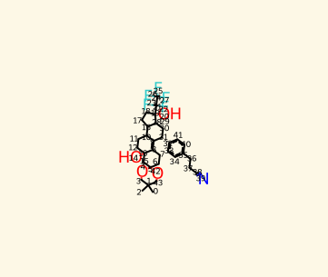 CC1(C)COC2(CCC3=C4C(CCC3(O)C2)C2CC[C@@](O)(C(F)(F)C(F)(F)F)[C@@]2(C)C[C@@H]4c2ccc(CCC#N)cc2)OC1